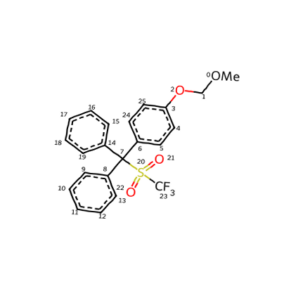 COCOc1ccc(C(c2ccccc2)(c2ccccc2)S(=O)(=O)C(F)(F)F)cc1